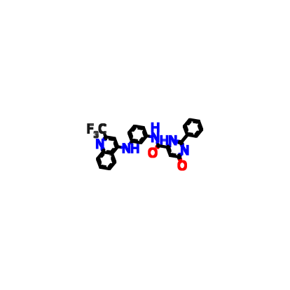 O=C(Nc1cccc(Nc2cc(C(F)(F)F)nc3ccccc23)c1)c1cc(=O)nc(-c2ccccc2)[nH]1